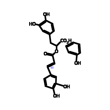 O=C(/C=C/c1ccc(O)c(O)c1)OC(Cc1ccc(O)c(O)c1)C(=O)O.Oc1ccccc1